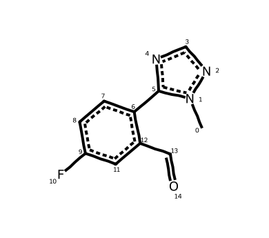 Cn1ncnc1-c1ccc(F)cc1C=O